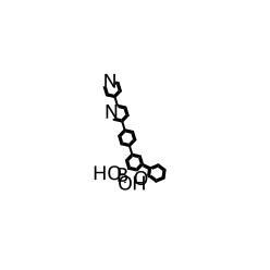 OB(O)c1cc(-c2ccc(-c3ccc(-c4ccncc4)nc3)cc2)cc2c1oc1ccccc12